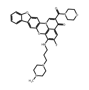 CN1CCN(CCCNc2c(F)cc3c(=O)c(C(=O)N4CCOCC4)cn4c3c2Oc2cc3c(cc2-4)oc2ccccc23)CC1